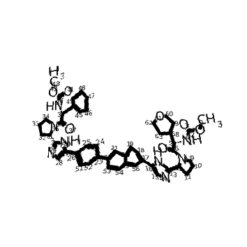 COC(=O)N[C@H](C(=O)N1CCCC1c1ncc(-c2ccc3cc(-c4ccc(-c5cnc([C@@H]6CCCN6C(=O)[C@H](NC(=O)OC)c6ccccc6)[nH]5)cc4)ccc3c2)[nH]1)C1CCOCC1